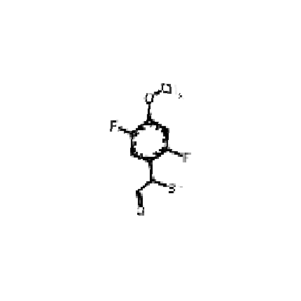 COc1cc(F)c(C(Br)C=O)cc1F